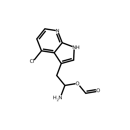 NC(Cc1c[nH]c2nccc(Cl)c12)OC=O